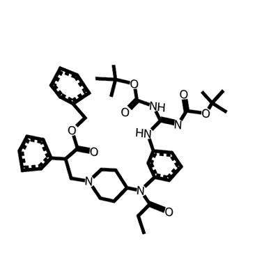 CCC(=O)N(c1cccc(NC(=NC(=O)OC(C)(C)C)NC(=O)OC(C)(C)C)c1)C1CCN(CC(C(=O)OCc2ccccc2)c2ccccc2)CC1